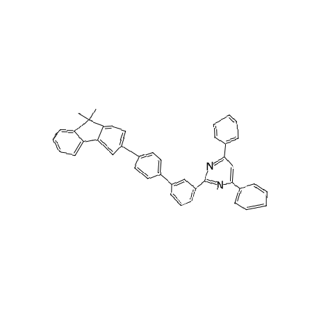 CC1(C)c2ccccc2-c2cc(-c3ccc(-c4cccc(-c5nc(-c6ccccc6)cc(-c6ccccc6)n5)c4)cc3)ccc21